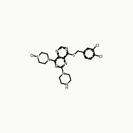 [O-][S+]1CCN(c2nc(N3CCNCC3)nc3c(SCc4ccc(Cl)c(Cl)c4)ncnc23)CC1